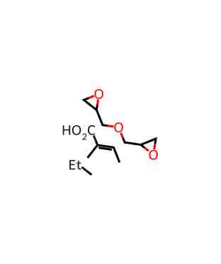 C(OCC1CO1)C1CO1.CC=C(C)C(=O)O.CCC